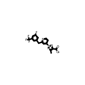 COC(=O)c1nn(-c2ccnc(Cc3cc(F)cc(C(F)(F)F)c3)c2)nc1C